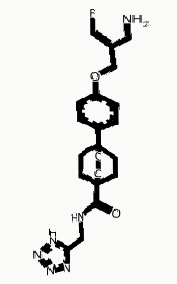 NCC(=CF)COc1ccc(C23CCC(C(=O)NCc4nnn[nH]4)(CC2)CC3)cc1